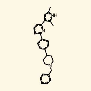 Cc1cc(-c2cccc(-c3ccc(C4CCN(Cc5ccccc5)CC4)cc3)n2)c(C)[nH]1